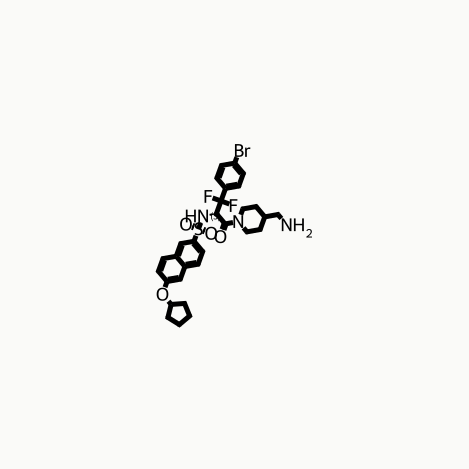 NCC1CCN(C(=O)[C@H](NS(=O)(=O)c2ccc3cc(OC4CCCC4)ccc3c2)C(F)(F)c2ccc(Br)cc2)CC1